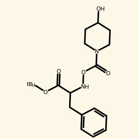 CC(C)(C)OC(=O)C(Cc1ccccc1)NOC(=O)N1CCC(O)CC1